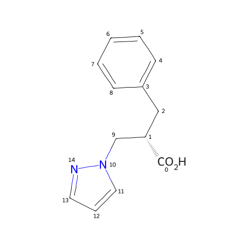 O=C(O)[C@@H](Cc1ccccc1)Cn1cccn1